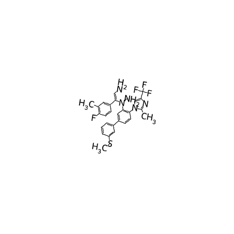 CSc1cccc(-c2ccc(-n3cc(C(F)(F)F)nc3C)c(N(N)/C(=C\N)c3ccc(F)c(C)c3)c2)c1